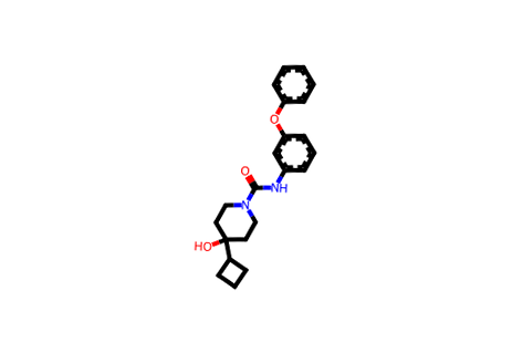 O=C(Nc1cccc(Oc2ccccc2)c1)N1CCC(O)(C2CCC2)CC1